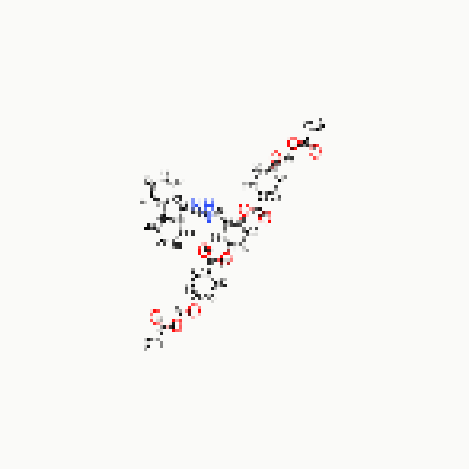 C=CC(=O)OCOc1ccc(C(=O)Oc2ccc(OC(=O)c3ccc(OCOC(=O)C=C)cc3)c(/C=N/NC3c4ccccc4-c4ccccc43)c2)cc1